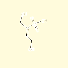 O=S(=O)(O)C(=CCO)CO